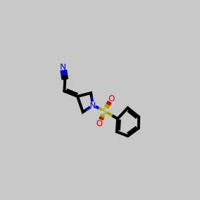 N#CC=C1CN(S(=O)(=O)c2ccccc2)C1